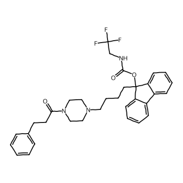 O=C(NCC(F)(F)F)OC1(CCCCN2CCN(C(=O)CCc3ccccc3)CC2)c2ccccc2-c2ccccc21